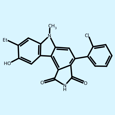 CCc1cc2c(cc1O)c1c3c(c(-c4ccccc4Cl)cc1n2C)C(=O)NC3=O